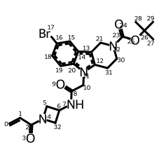 C=CC(=O)N1CC(NC(=O)Cn2c3c(c4cc(Br)ccc42)CN(C(=O)OC(C)(C)C)CC3)C1